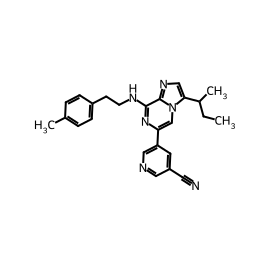 CCC(C)c1cnc2c(NCCc3ccc(C)cc3)nc(-c3cncc(C#N)c3)cn12